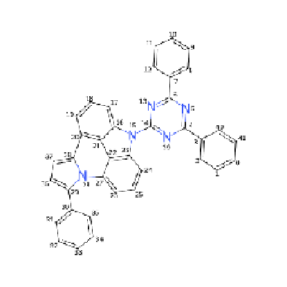 c1ccc(-c2nc(-c3ccccc3)nc(-n3c4cccc5c4c4c3cccc4n3c(-c4ccccc4)ccc53)n2)cc1